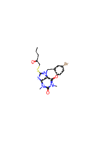 CCCC(=O)CSc1nc2c(c(=O)n(C)c(=O)n2C)n1Cc1cccc(Br)c1